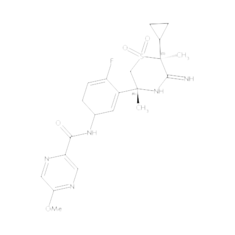 COc1cnc(C(=O)NC2C=C([C@]3(C)CS(=O)(=O)[C@@](C)(C4CC4)C(=N)N3)C(F)=CC2)cn1